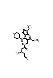 CCc1nc2c(cnn2CC)c(NC2CCOCC2)c1CNC(=O)CC(C)CC=O